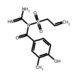 C=CCS(=O)(=O)N(C(=N)N)C(=O)c1ccc(O)c(C)c1